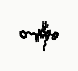 CCCCCn1c(-c2ccco2)nc2c(N)nc(NCCCc3ccccc3)nc21